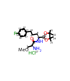 COC[C@@H](N)C(=O)N[C@@H](CCCc1ccc(F)cc1)B1OC(C)(C)C(C)(C)O1.Cl